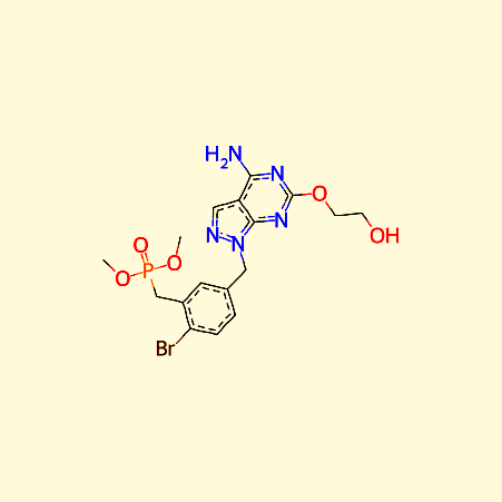 COP(=O)(Cc1cc(Cn2ncc3c(N)nc(OCCO)nc32)ccc1Br)OC